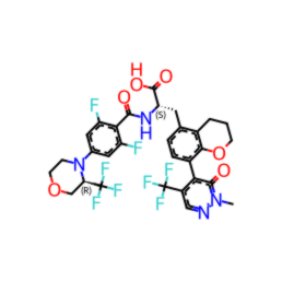 Cn1ncc(C(F)(F)F)c(-c2ccc(C[C@H](NC(=O)c3c(F)cc(N4CCOC[C@@H]4C(F)(F)F)cc3F)C(=O)O)c3c2OCCC3)c1=O